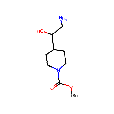 CC(C)(C)OC(=O)N1CCC(C(O)CN)CC1